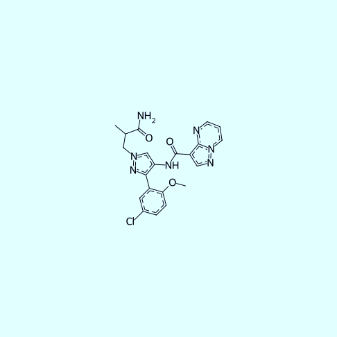 COc1ccc(Cl)cc1-c1nn(CC(C)C(N)=O)cc1NC(=O)c1cnn2cccnc12